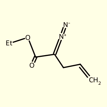 C=CCC(=[N+]=[N-])C(=O)OCC